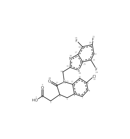 O=C(O)CC1Cc2ccc(Cl)cc2N(Cc2nc3c(F)c(F)cc(F)c3s2)C1=O